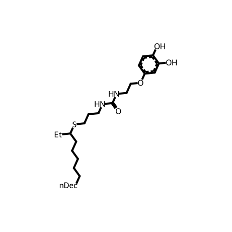 CCCCCCCCCCCCCCCC(CC)SCCCNC(=O)NCCOc1ccc(O)c(O)c1